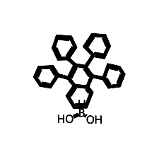 OBO.c1ccc(-c2c(-c3ccccc3)c(-c3ccccc3)c3ccccc3c2-c2ccccc2)cc1